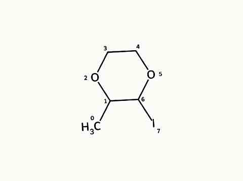 CC1OCCOC1I